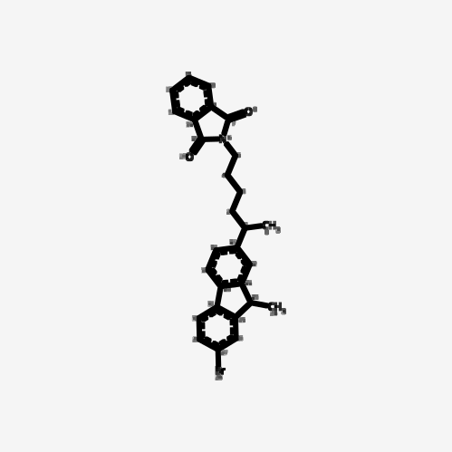 CC(CCCCN1C(=O)c2ccccc2C1=O)c1ccc2c(c1)C(C)c1cc(Br)ccc1-2